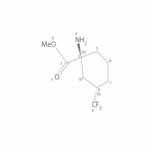 COC(=O)[C@]1(N)CCC[C@H](C(F)(F)F)C1